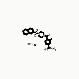 CC(=O)O.Cc1cc(C(=N)N)ccc1C(=O)N1CCN(S(=O)(=O)c2ccc3ccccc3c2)CC1